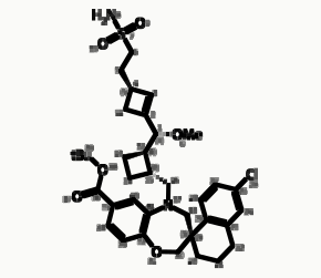 CO[C@@H](C1=C[C@H](CCS(N)(=O)=O)C1)[C@@H]1CC[C@H]1CN1C[C@@]2(CCCc3cc(Cl)ccc32)COc2ccc(C(=O)OC(C)(C)C)cc21